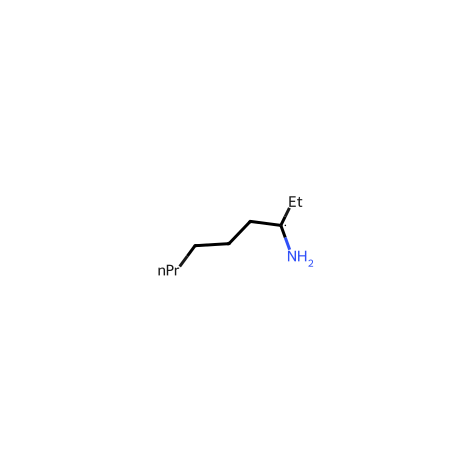 CCCCCC[C](N)CC